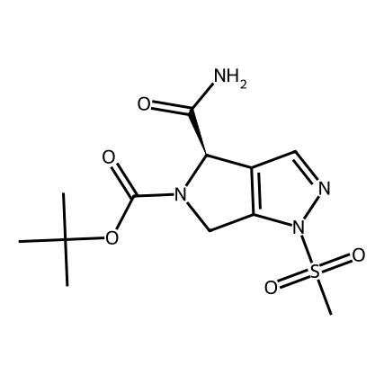 CC(C)(C)OC(=O)N1Cc2c(cnn2S(C)(=O)=O)[C@@H]1C(N)=O